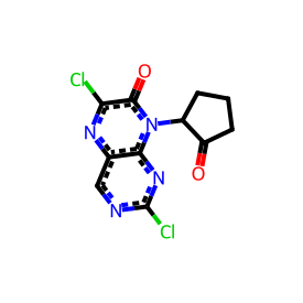 O=C1CCCC1n1c(=O)c(Cl)nc2cnc(Cl)nc21